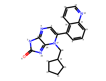 O=C1[N]C2=NC=C(c3cccc4ncccc34)N(CC3CCCC3)C2=N1